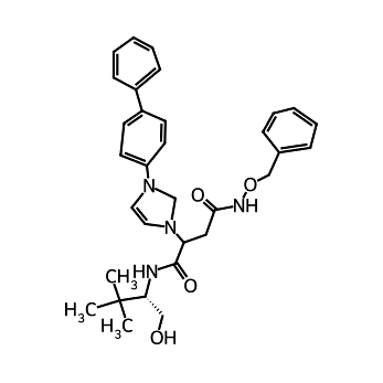 CC(C)(C)[C@@H](CO)NC(=O)C(CC(=O)NOCc1ccccc1)N1C=CN(c2ccc(-c3ccccc3)cc2)C1